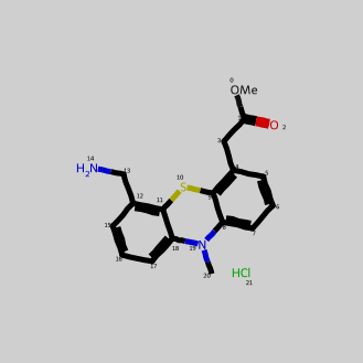 COC(=O)Cc1cccc2c1Sc1c(CN)cccc1N2C.Cl